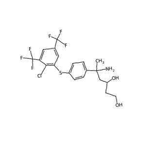 CC(N)(CC(O)CCO)c1ccc(Sc2cc(C(F)(F)F)cc(C(F)(F)F)c2Cl)cc1